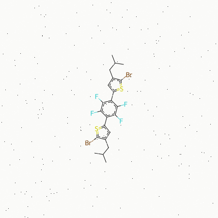 CC(C)Cc1cc(-c2c(F)c(F)c(-c3cc(CC(C)C)c(Br)s3)c(F)c2F)sc1Br